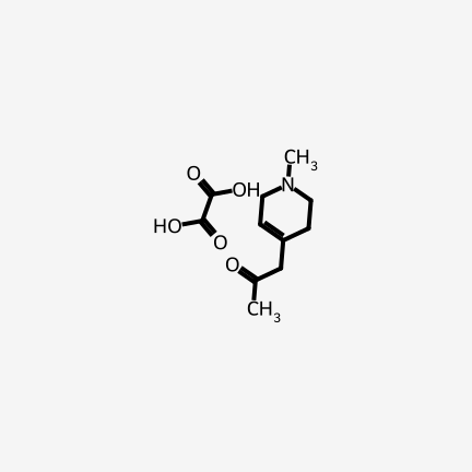 CC(=O)CC1=CCN(C)CC1.O=C(O)C(=O)O